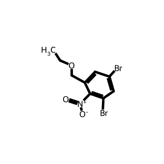 CCOCc1cc(Br)cc(Br)c1[N+](=O)[O-]